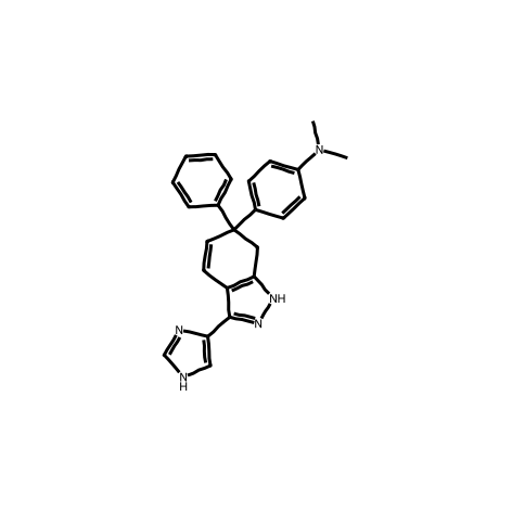 CN(C)c1ccc(C2(c3ccccc3)C=Cc3c(-c4c[nH]cn4)n[nH]c3C2)cc1